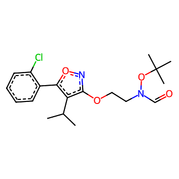 CC(C)c1c(OCCN(C=O)OC(C)(C)C)noc1-c1ccccc1Cl